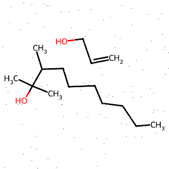 C=CCO.CCCCCCCC(C)C(C)(C)O